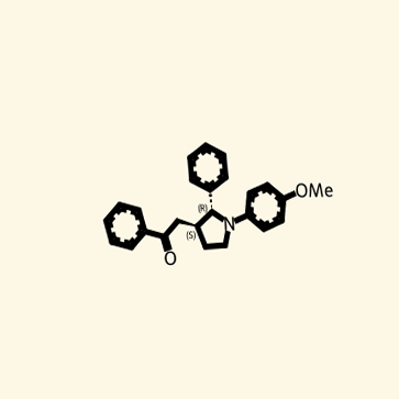 COc1ccc(N2CC[C@@H](CC(=O)c3ccccc3)[C@@H]2c2ccccc2)cc1